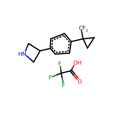 FC(F)(F)C1(c2ccc(C3CNC3)cc2)CC1.O=C(O)C(F)(F)F